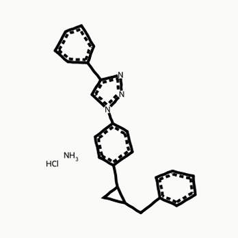 Cl.N.c1ccc(CC2CC2c2ccc(-n3cc(-c4ccccc4)nn3)cc2)cc1